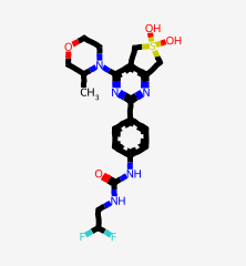 CC1COCCN1c1nc(-c2ccc(NC(=O)NCC(F)F)cc2)nc2c1CS(O)(O)C2